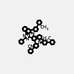 Cc1ccccc1-c1ccc2c(c1)c1ccccc1n2-c1ccc(-c2ccccc2C#N)cc1-c1ccc(-n2c3ccccc3c3cc(-c4ccccc4C)ccc32)c(-c2nc(-c3ccccc3)nc(-c3ccccc3)n2)c1